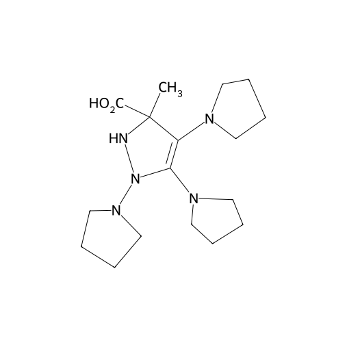 CC1(C(=O)O)NN(N2CCCC2)C(N2CCCC2)=C1N1CCCC1